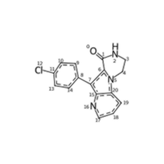 O=C1NCCn2c1c(-c1ccc(Cl)cc1)c1ncccc12